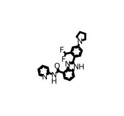 O=C(Nc1ccccn1)c1cccc2[nH]c(-c3ccc(N4CCCC4)cc3C(F)F)nc12